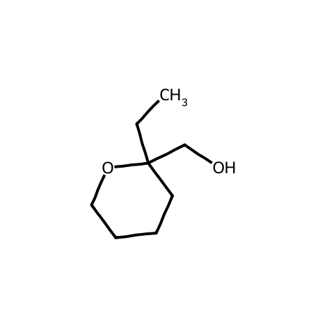 CCC1(CO)CCCCO1